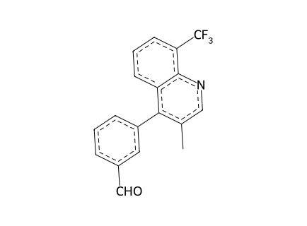 Cc1cnc2c(C(F)(F)F)cccc2c1-c1cccc(C=O)c1